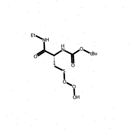 CCNC(=O)[C@@H](CSOOO)NC(=O)OC(C)(C)C